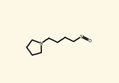 O=[S+]CCCCN1CCCC1